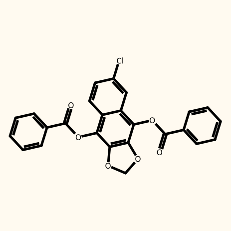 O=C(Oc1c2c(c(OC(=O)c3ccccc3)c3cc(Cl)ccc13)OCO2)c1ccccc1